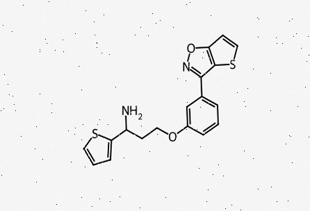 NC(CCOc1cccc(-c2noc3ccsc23)c1)c1cccs1